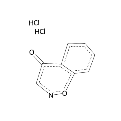 Cl.Cl.O=c1cnoc2ccccc12